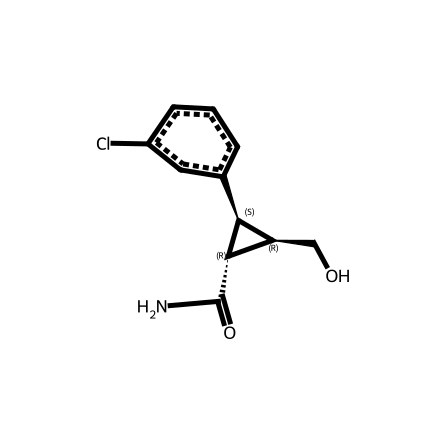 NC(=O)[C@H]1[C@H](CO)[C@@H]1c1cccc(Cl)c1